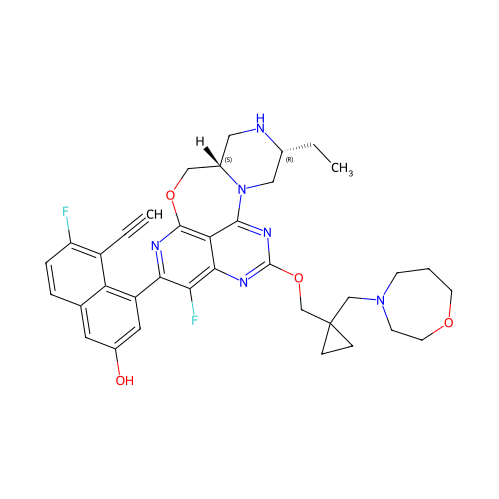 C#Cc1c(F)ccc2cc(O)cc(-c3nc4c5c(nc(OCC6(CN7CCCOCC7)CC6)nc5c3F)N3C[C@@H](CC)NC[C@H]3CO4)c12